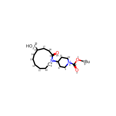 CC(C)(C)OC(=O)N1CCC(N2CCCCCCC(C(=O)O)CCC2=O)CC1